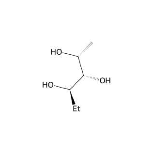 CC[C@@H](O)[C@@H](O)[C@@H](C)O